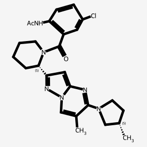 CC(=O)Nc1ccc(Cl)cc1C(=O)N1CCCC[C@H]1c1cc2nc(N3CC[C@H](C)C3)c(C)cn2n1